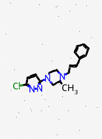 CC1CN(c2ccc(Cl)nn2)CCN1CC=Cc1ccccc1